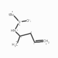 C=CCC(C)N[S+]([O-])C(C)(C)C